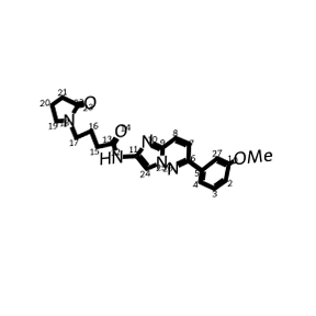 COc1cccc(-c2ccc3nc(NC(=O)CCCN4CCCC4=O)cn3n2)c1